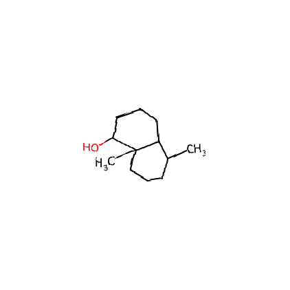 CC1CCCC2(C)C(O)CCCC12